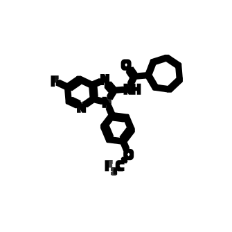 O=C(Nc1nc2cc(F)cnc2n1-c1ccc(OC(F)(F)F)cc1)C1CCCCCC1